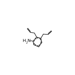 C=CCc1cccc(N)c1CC=C